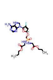 CCCOC(=O)CNP(=O)(CO[C@@H]1C=C(F)[C@H](N2CNc3c(N)ncnc32)O1)NCC(=O)OCCC